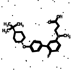 CN(CCC(=O)O)c1ccc(F)c(-c2ccc(O[C@H]3CC[C@H](C(C)(C)C)CC3)cc2)c1